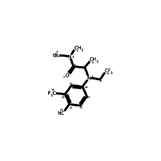 CC(C(=O)N(C)C(C)(C)C)N(CC(F)(F)F)c1ccc(C#N)c(C(F)(F)F)c1